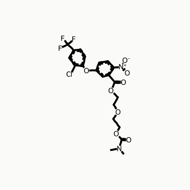 CN(C)C(=O)OCCOCCOC(=O)c1cc(Oc2ccc(C(F)(F)F)cc2Cl)ccc1[N+](=O)[O-]